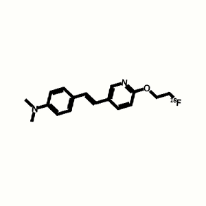 CN(C)c1ccc(/C=C/c2ccc(OCC[18F])nc2)cc1